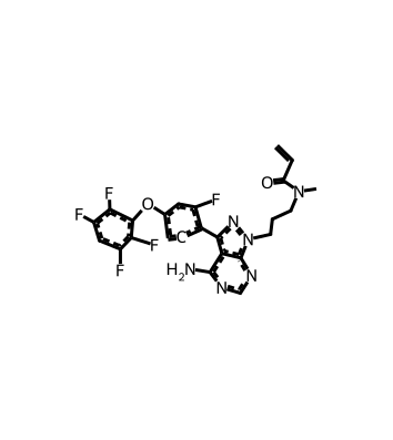 C=CC(=O)N(C)CCCn1nc(-c2ccc(Oc3c(F)c(F)cc(F)c3F)cc2F)c2c(N)ncnc21